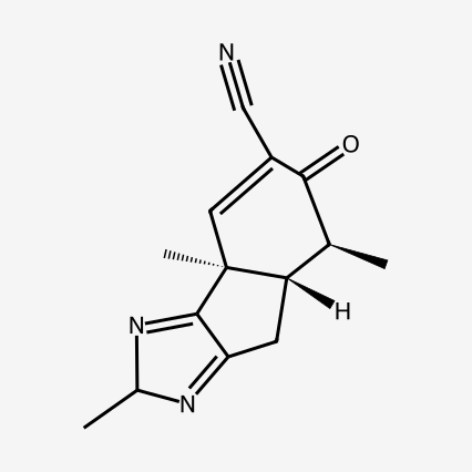 CC1N=C2C[C@H]3[C@H](C)C(=O)C(C#N)=C[C@]3(C)C2=N1